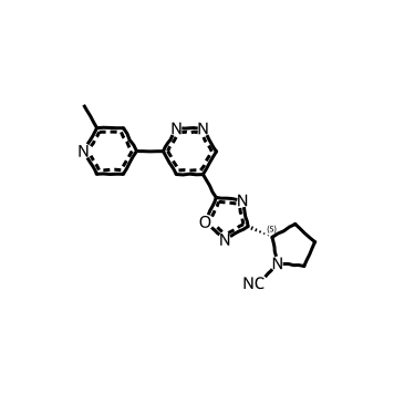 Cc1cc(-c2cc(-c3nc([C@@H]4CCCN4C#N)no3)cnn2)ccn1